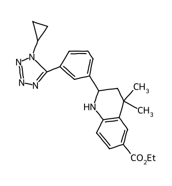 CCOC(=O)c1ccc2c(c1)C(C)(C)CC(c1cccc(-c3nnnn3C3CC3)c1)N2